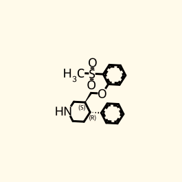 CS(=O)(=O)c1ccccc1OC[C@@H]1CNCC[C@H]1c1ccccc1